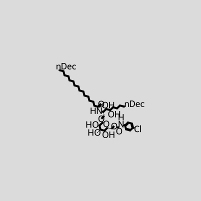 CCCCCCCCCCCCCCCCCCCCCCCCCC(=O)N[C@@H](CO[C@H]1O[C@H](COC(=O)Nc2ccc(Cl)cc2)[C@H](O)[C@H](O)[C@H]1O)[C@H](O)[C@H](O)CCCCCCCCCCCCCC